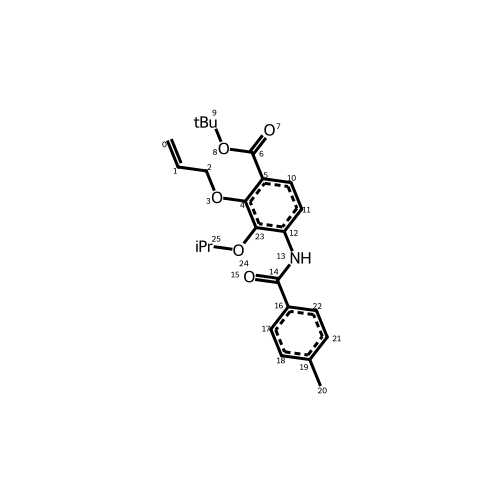 C=CCOc1c(C(=O)OC(C)(C)C)ccc(NC(=O)c2ccc(C)cc2)c1OC(C)C